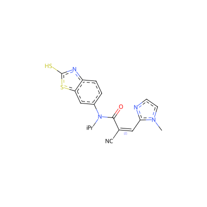 CC(C)N(C(=O)/C(C#N)=C\c1nccn1C)c1ccc2nc(S)sc2c1